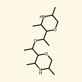 CC1COC(C(C)OC(C)C2OCC(C)NC2C)C(C)N1